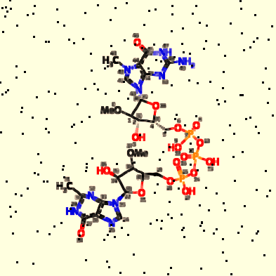 COC1[C@@H](O)[C@@H](COP(=O)(O)OP(=O)(O)OP(=O)(O)OC[C@H]2O[C@@H](n3cnc4c(=O)[nH]c(C)nc43)[C@@H](O)C2OC)O[C@H]1n1c[n+](C)c2c(=O)[nH]c(N)nc21